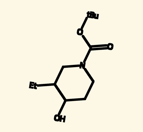 CCC1CN(C(=O)OC(C)(C)C)CCC1O